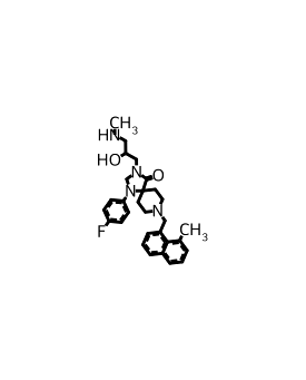 CNCC(O)CN1CN(c2ccc(F)cc2)C2(CCN(Cc3cccc4cccc(C)c34)CC2)C1=O